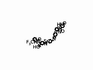 Cn1c(=O)n(C2CCC(=O)NC2=O)c2cccc(N3CCC4(CC3)CN(CC3CCN(c5nc6cc(C(C)(C)O)c(NC(=O)c7cccc(C(F)(F)F)n7)cc6s5)CC3)C4)c21